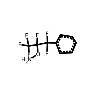 NOC(F)(C(F)(F)F)C(F)(F)c1ccccc1